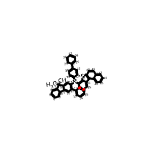 CC1(C)c2ccccc2-c2cc(-c3ccccc3)c(N(c3ccc(-c4ccccc4)cc3)c3cncc4c3sc3ccc5ccccc5c34)cc21